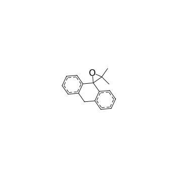 CC1(C)OC12c1ccccc1Cc1ccccc12